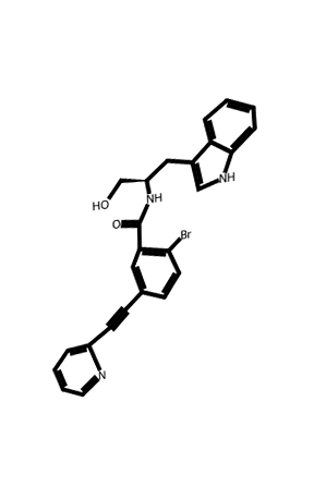 O=C(N[C@@H](CO)Cc1c[nH]c2ccccc12)c1cc(C#Cc2ccccn2)ccc1Br